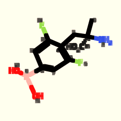 C[C@@](N)(Cc1c(F)cc(B(O)O)cc1F)C(=O)O